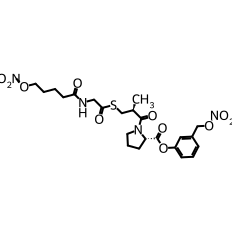 C[C@H](CSC(=O)CNC(=O)CCCCO[N+](=O)[O-])C(=O)N1CCC[C@H]1C(=O)Oc1cccc(CO[N+](=O)[O-])c1